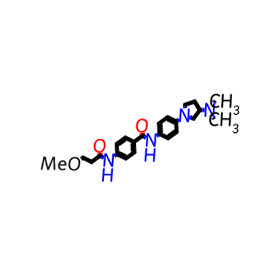 COCCC(=O)Nc1ccc(C(=O)Nc2ccc(N3CCC(N(C)C)C3)cc2)cc1